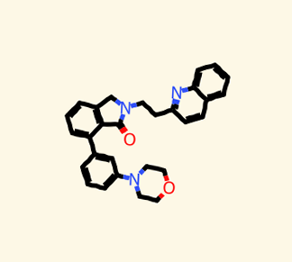 O=C1c2c(cccc2-c2cccc(N3CCOCC3)c2)CN1CCc1ccc2ccccc2n1